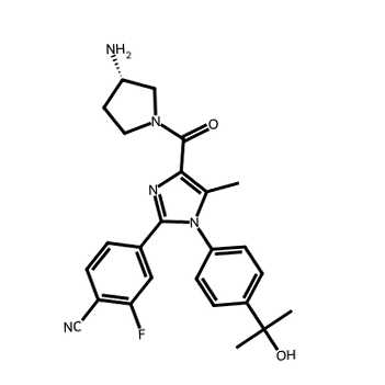 Cc1c(C(=O)N2CC[C@H](N)C2)nc(-c2ccc(C#N)c(F)c2)n1-c1ccc(C(C)(C)O)cc1